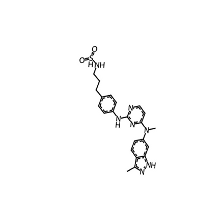 Cc1n[nH]c2cc(N(C)c3ccnc(Nc4ccc(CCCN[SH](=O)=O)cc4)n3)ccc12